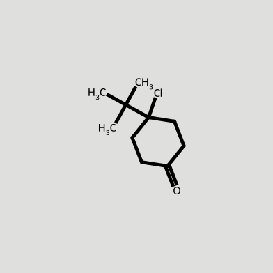 CC(C)(C)C1(Cl)CCC(=O)CC1